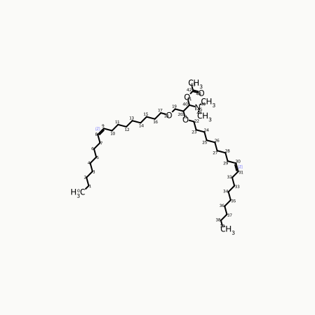 CCCCCCCC/C=C\CCCCCCCCOCC(OCCCCCCCC/C=C\CCCCCCCC)C(OC(C)=O)N(C)C